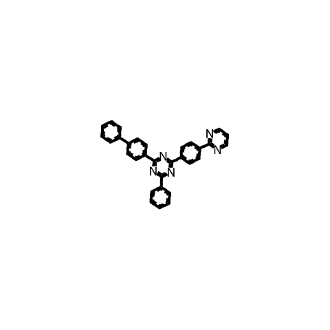 c1ccc(-c2ccc(-c3nc(-c4ccccc4)nc(-c4ccc(-c5ncccn5)cc4)n3)cc2)cc1